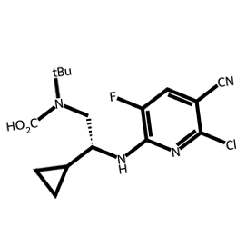 CC(C)(C)N(C[C@H](Nc1nc(Cl)c(C#N)cc1F)C1CC1)C(=O)O